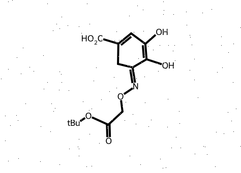 CC(C)(C)OC(=O)CON=C1CC(C(=O)O)=CC(O)=C1O